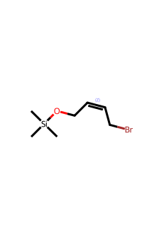 C[Si](C)(C)OC/C=C\CBr